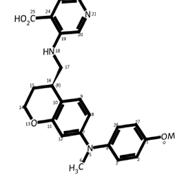 COc1ccc(N(C)c2ccc3c(c2)OCC[C@H]3CNc2cnccc2C(=O)O)cc1